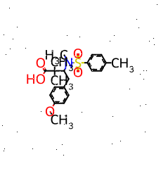 COc1ccc(CC(N(C)S(=O)(=O)c2ccc(C)cc2)C(C)(C)C(=O)O)cc1